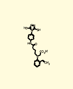 C=Cc1ccccc1N(CCCC(=O)Nc1ccc(-n2c(S)nnc2S)cc1)CC(=O)O